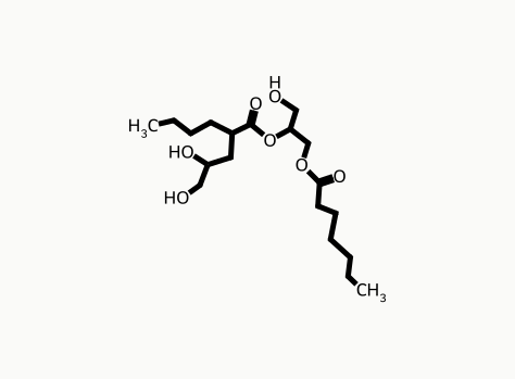 CCCCCCC(=O)OCC(CO)OC(=O)C(CCCC)CC(O)CO